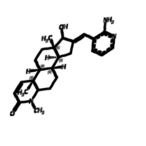 CN1C(=O)C=C[C@@]2(C)C1CC[C@@H]1[C@H]2CC[C@]2(C)C(O)C(=Cc3cccnc3N)C[C@@H]12